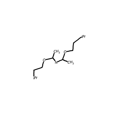 CC(C)CCOC(C)[N]C(C)OCCC(C)C